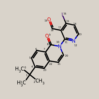 CC(C)(C)c1ccc2c(=O)n(-c3nccc(I)c3C=O)ccc2c1